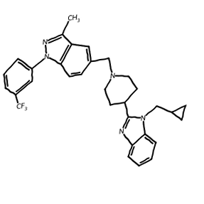 Cc1nn(-c2cccc(C(F)(F)F)c2)c2ccc(CN3CCC(c4nc5ccccc5n4CC4CC4)CC3)cc12